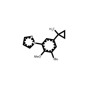 COc1c(-n2cccn2)cc(C2(C)CC2)cc1C(C)(C)C